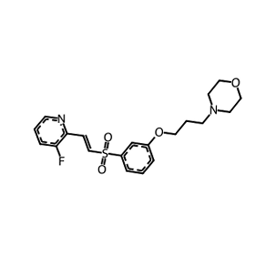 O=S(=O)(C=Cc1ncccc1F)c1cccc(OCCCN2CCOCC2)c1